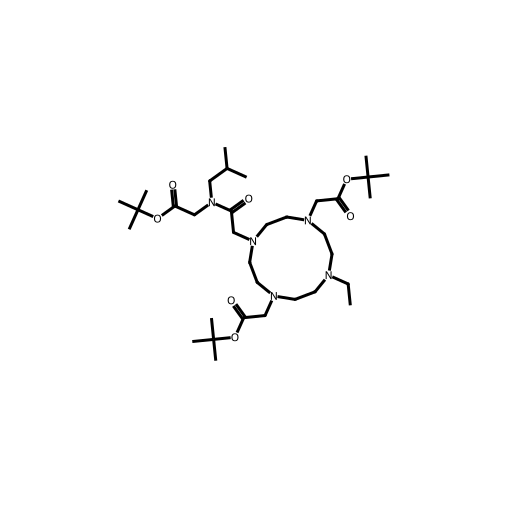 CCN1CCN(CC(=O)OC(C)(C)C)CCN(CC(=O)N(CC(=O)OC(C)(C)C)CC(C)C)CCN(CC(=O)OC(C)(C)C)CC1